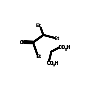 CCC(=O)C(CC)CC.O=C(O)CC(=O)O